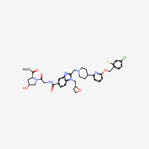 COC(=O)[C@@H]1C[C@H](O)CN1C(=O)CNC(=O)c1ccc2c(c1)nc(CN1CCC(c3cccc(OCc4ccc(Cl)cc4F)n3)CC1)n2C[C@@H]1CCO1